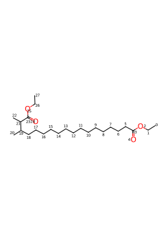 CCOC(=O)CCCCCCCCCCCCCCC(C)C(C)C(=O)OCC